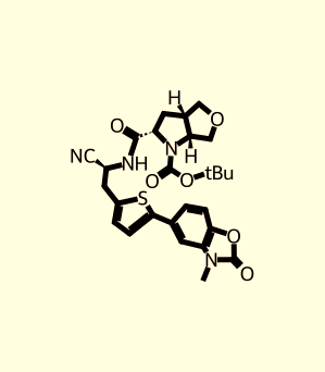 Cn1c(=O)oc2ccc(-c3ccc(C[C@@H](C#N)NC(=O)[C@@H]4C[C@@H]5COC[C@@H]5N4C(=O)OC(C)(C)C)s3)cc21